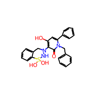 O=c1c(N2Cc3ccccc3S(O)(O)N2)c(O)cc(-c2ccccc2)n1Cc1ccccc1